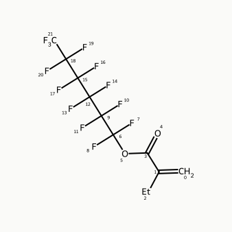 C=C(CC)C(=O)OC(F)(F)C(F)(F)C(F)(F)C(F)(F)C(F)(F)C(F)(F)F